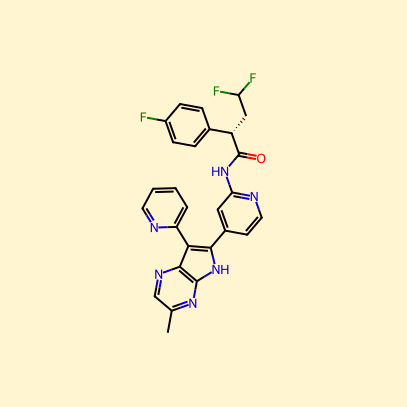 Cc1cnc2c(-c3ccccn3)c(-c3ccnc(NC(=O)[C@@H](CC(F)F)c4ccc(F)cc4)c3)[nH]c2n1